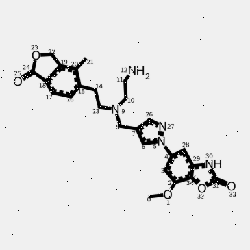 COc1cc(-n2cc(CN(CCN)CCc3ccc4c(c3C)COC4=O)cn2)cc2[nH]c(=O)oc12